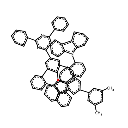 Cc1cc(C)cc(-c2ccc3c(c2)c2ccccc2n3-c2c(-c3ccccc3-n3c4ccccc4c4ccccc43)cc(-c3cc(-c4ccccc4)nc(-c4ccccc4)n3)cc2-c2ccccc2-n2c3ccccc3c3ccccc32)c1